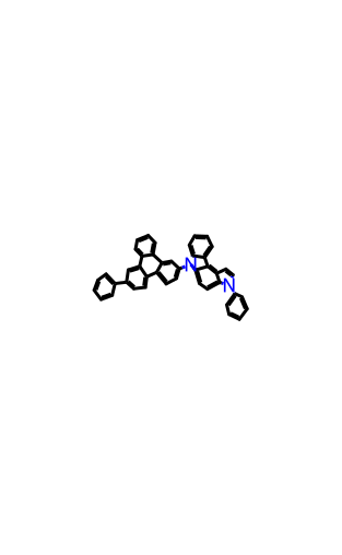 c1ccc(-c2ccc3c4ccc(-n5c6ccccc6c6c7ccn(-c8ccccc8)c7ccc65)cc4c4ccccc4c3c2)cc1